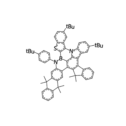 CC(C)(C)c1ccc(N2B3c4sc5ccc(C(C)(C)C)cc5c4-n4c5ccc(C(C)(C)C)cc5c5c6c(c(c3c54)-c3cc4c(cc32)C(C)(C)c2ccccc2C4(C)C)C(C)(C)c2ccccc2-6)cc1